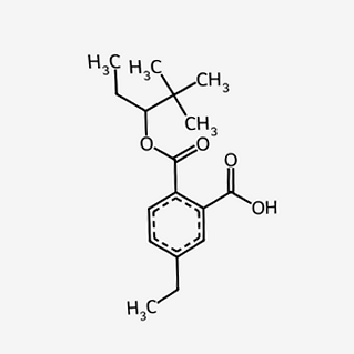 CCc1ccc(C(=O)OC(CC)C(C)(C)C)c(C(=O)O)c1